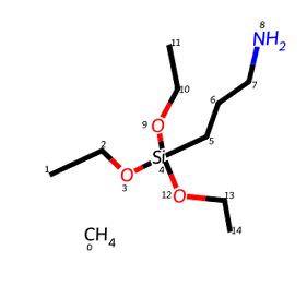 C.CCO[Si](CCCN)(OCC)OCC